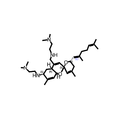 CC(C)=CCC/C(C)=C/[C@@H]1CC(C)=C[C@]2(C=C(CNCCN(C)C)[C@H]3C[C@H](NCCN(C)C)C(C)=C[C@H]3O2)O1